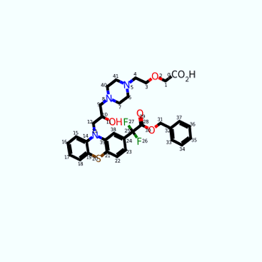 O=C(O)COCCN1CCN(CC(O)CN2c3ccccc3Sc3ccc(C(F)(F)C(=O)OCc4ccccc4)cc32)CC1